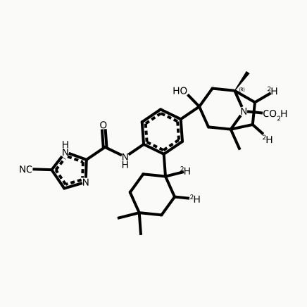 [2H]C1CC(C)(C)CCC1([2H])c1cc(C2(O)CC3(C)C([2H])C([2H])[C@@](C)(C2)N3C(=O)O)ccc1NC(=O)c1ncc(C#N)[nH]1